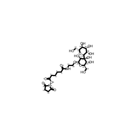 O=C(CCCCC(=O)ON1C(=O)CCC1=O)NCCO[C@@H]1O[C@H](CO)[C@@H](O)[C@@](O)([C@@H]2O[C@H](CO)[C@@H](O)[C@H](O)[C@@H]2O)[C@@H]1O